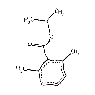 Cc1cccc(C)c1C(=O)OC(C)C